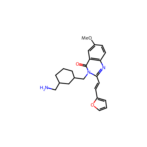 COc1ccc2nc(C=Cc3ccco3)n(CC3CCCC(CN)C3)c(=O)c2c1